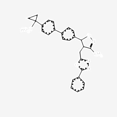 CC1=NOC(c2ccc(-c3ccc(C4(C(=O)O)CC4)cc3)cc2)C1Cc1nnc(-c2ccccc2)o1